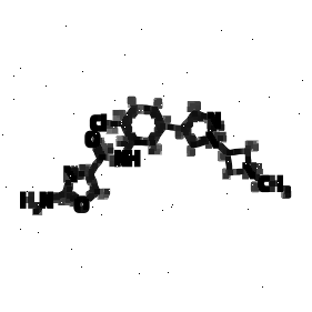 CN1CC(n2cc(-c3ccc(Cl)c(NC(=O)c4coc(N)n4)c3)cn2)C1